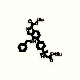 CC(C)(C)OC(=O)NC(C)(C)c1ccc(-c2ccc3c(cnn3C(=O)OC(C)(C)C)c2NCc2ccccc2)cc1